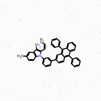 C/C=C\c1c(N)c2cc(C)ccc2n1-c1cccc(-c2ccc3c(-c4ccccc4)c4ccccc4c(-c4ccccc4)c3c2)c1